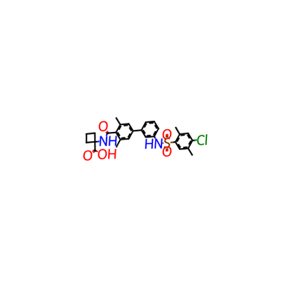 Cc1cc(S(=O)(=O)Nc2cccc(-c3cc(C)c(C(=O)NC4(C(=O)O)CCC4)c(C)c3)c2)c(C)cc1Cl